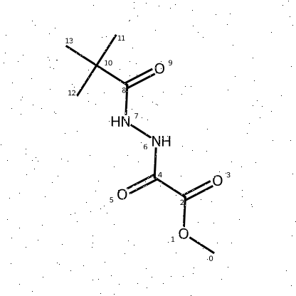 COC(=O)C(=O)NNC(=O)C(C)(C)C